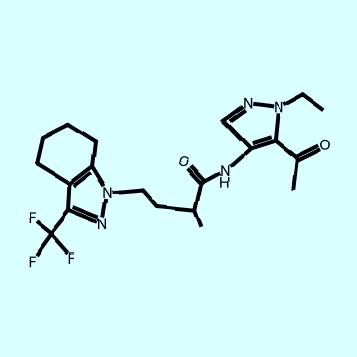 CCn1ncc(NC(=O)C(C)CCn2nc(C(F)(F)F)c3c2CCCC3)c1C(C)=O